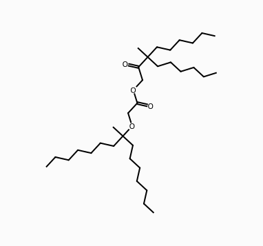 CCCCCCCC(C)(CCCCCCC)OCC(=O)OCC(=O)C(C)(CCCCCC)CCCCCC